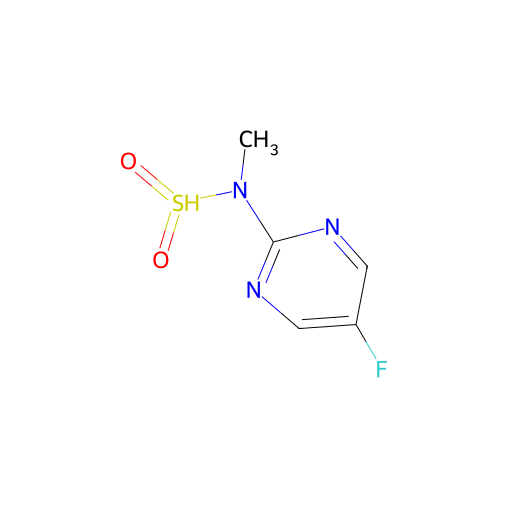 CN(c1ncc(F)cn1)[SH](=O)=O